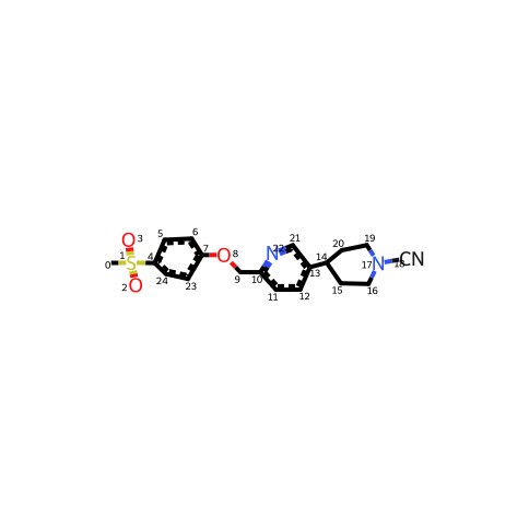 CS(=O)(=O)c1ccc(OCc2ccc(C3CCN(C#N)CC3)cn2)cc1